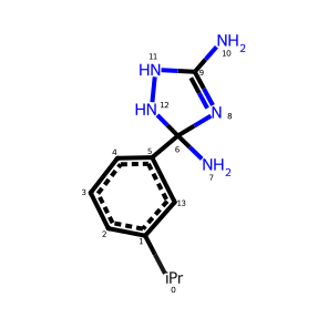 CC(C)c1cccc(C2(N)N=C(N)NN2)c1